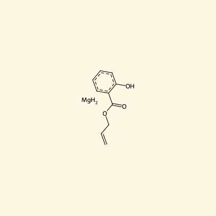 C=CCOC(=O)c1ccccc1O.[MgH2]